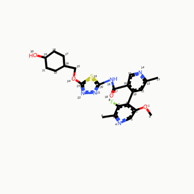 COc1cnc(C)c(F)c1-c1cc(C)ncc1C(=O)Nc1nnc(OCC2CCC(O)CC2)s1